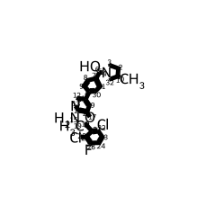 CC1CCN(C(O)c2ccc(-c3cnc(N)c(OC(C)c4c(Cl)ccc(F)c4Cl)c3)cc2)C1